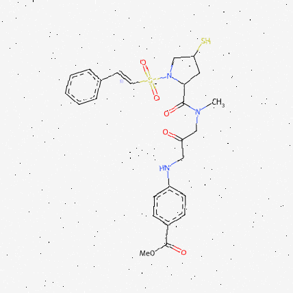 COC(=O)c1ccc(NCC(=O)CN(C)C(=O)C2CC(S)CN2S(=O)(=O)/C=C/c2ccccc2)cc1